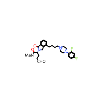 CNC(=O)C(CCC=O)N1Cc2c(CCCCN3CCN(c4ccc(F)cc4F)CC3)cccc2C1=O